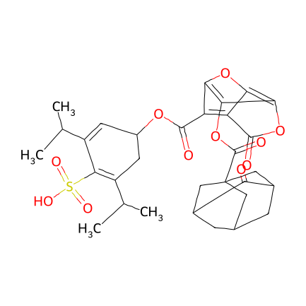 CC(C)C1=CC(OC(=O)c2c3c4oc2c(OC(=O)C25CC6CC(C2)C(=O)C(C6)C5)c4OC3=O)CC(C(C)C)=C1S(=O)(=O)O